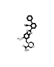 Cc1cc2oc(-c3cccc(-c4ccccc4)c3C#N)nc2cc1CN1CCOCC1C(=O)O